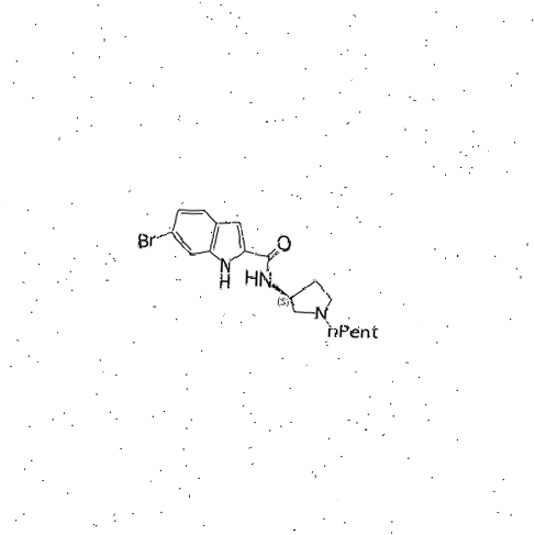 CCCCCN1CC[C@H](NC(=O)c2cc3ccc(Br)cc3[nH]2)C1